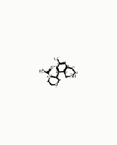 O=C(O)N1CCOCC1c1cc(Cl)cc2c1CNCC2